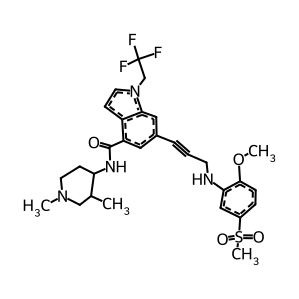 COc1ccc(S(C)(=O)=O)cc1NCC#Cc1cc(C(=O)NC2CCN(C)CC2C)c2ccn(CC(F)(F)F)c2c1